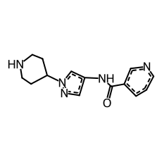 O=C(Nc1cnn(C2CCNCC2)c1)c1cccnc1